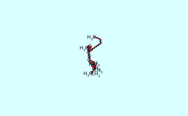 CCCCC/C=C\C/C=C\CCCCCCCCOC[C@@H](CN1CCOC[C@@H]1C)OCCOCCO[C@H]1CC[C@@]2(C)C(=CCC3[C@@H]4CC[C@H]([C@H](C)CCCC(C)C)[C@@]4(C)CC[C@@H]32)C1